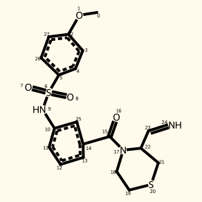 COc1ccc(S(=O)(=O)Nc2cccc(C(=O)N3CCSCC3C=N)c2)cc1